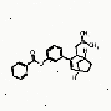 CN(C)C[C@@H]1C(c2cccc(OC(=O)C3=CCCC=C3)c2)=C[C@H]2CC[C@@H]1C2